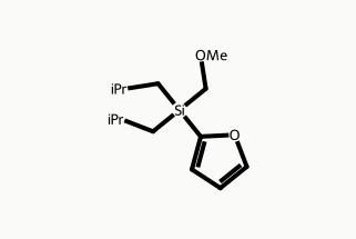 COC[Si](CC(C)C)(CC(C)C)c1ccco1